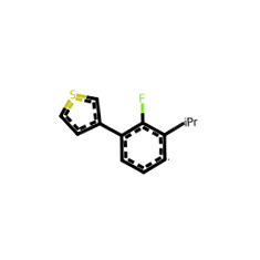 CC(C)c1[c]ccc(-c2ccsc2)c1F